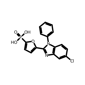 O=P(O)(O)c1ccc(-c2nc3cc(Cl)ccc3n2-c2ccccc2)o1